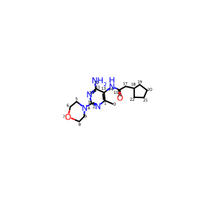 Cc1nc(N2CCOCC2)nc(N)c1NC(=O)CC1CCCC1